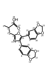 CC(Sc1nc(-c2ccc3c(c2)OCO3)c(-c2ccc3c(c2)OCO3)o1)C(=O)O